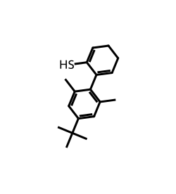 Cc1cc(C(C)(C)C)cc(C)c1C1=CCCC=C1S